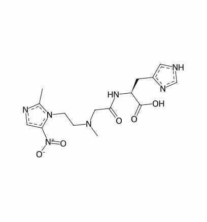 Cc1ncc([N+](=O)[O-])n1CCN(C)CC(=O)N[C@@H](Cc1c[nH]cn1)C(=O)O